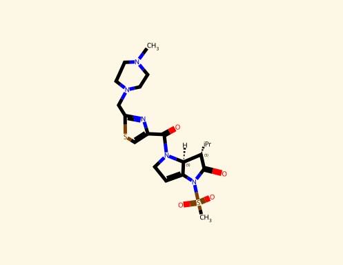 CC(C)[C@@H]1C(=O)N(S(C)(=O)=O)C2=CCN(C(=O)c3csc(CN4CCN(C)CC4)n3)[C@H]21